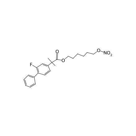 CC(C)(C(=O)OCCCCCCO[N+](=O)[O-])c1ccc(-c2ccccc2)c(F)c1